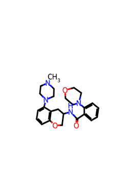 CN1CCN(c2cccc3c2CC(NC(=O)c2ccccc2N2CCOCC2)CO3)CC1